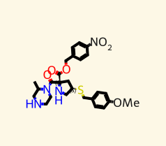 COc1ccc(CS[C@@H]2CN[C@](C(=O)OCc3ccc([N+](=O)[O-])cc3)(C(=O)N3CCNCC3C)C2)cc1